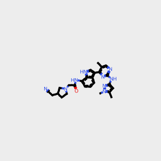 Cc1cnc(Nc2cc(C)n(C)n2)nc1-c1c[nH]c2c(NC(=O)CN3CCC(CC#N)C3)cccc12